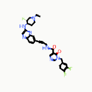 CCN1CC[C@@H](Nc2cnc3ccc(C#CCNC(=O)c4cncn(Cc5ccc(F)c(F)c5)c4=O)cc3n2)[C@H](F)C1